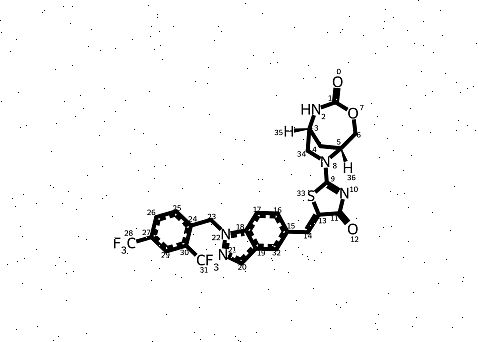 O=C1N[C@@H]2C[C@H](CO1)N(C1=NC(=O)/C(=C/c3ccc4c(cnn4Cc4ccc(C(F)(F)F)cc4C(F)(F)F)c3)S1)C2